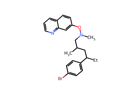 CCC(CC(C)CN(C)Oc1ccc2cccnc2c1)c1ccc(Br)cc1